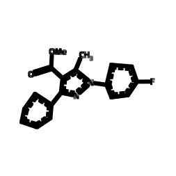 COC(=O)c1c(-c2ccccc2)nn(-c2ccc(F)cc2)c1C